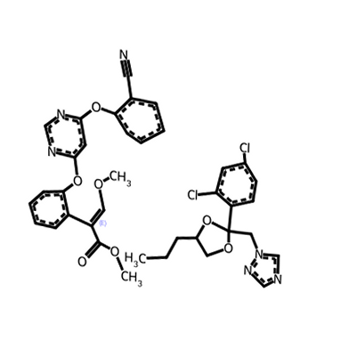 CCCC1COC(Cn2cncn2)(c2ccc(Cl)cc2Cl)O1.CO/C=C(/C(=O)OC)c1ccccc1Oc1cc(Oc2ccccc2C#N)ncn1